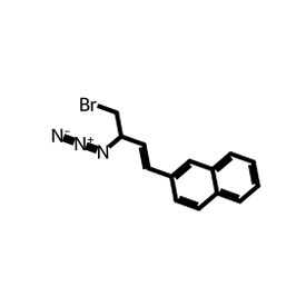 [N-]=[N+]=NC(C=Cc1ccc2ccccc2c1)CBr